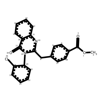 COC(=O)c1ccc(Cc2nc3ccccc3c(=O)n2-c2ccccc2Cl)cc1